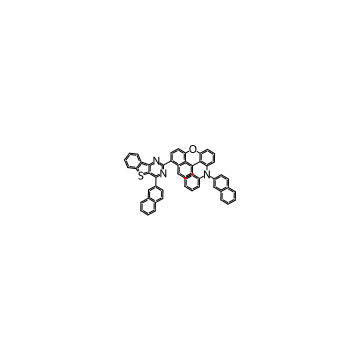 c1ccc(N(c2ccc3ccccc3c2)c2cccc3c2-c2cccc4c(-c5nc(-c6ccc7ccccc7c6)c6sc7ccccc7c6n5)ccc(c24)O3)cc1